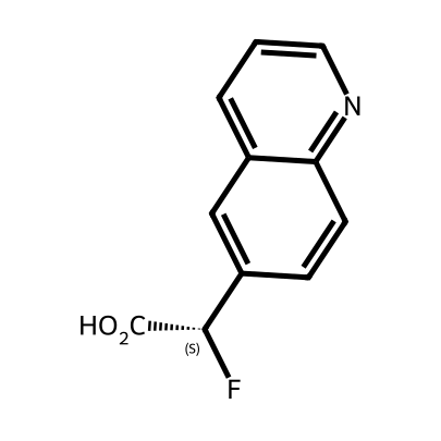 O=C(O)[C@@H](F)c1ccc2ncccc2c1